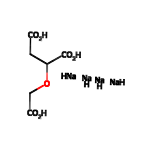 O=C(O)COC(CC(=O)O)C(=O)O.[NaH].[NaH].[NaH].[NaH]